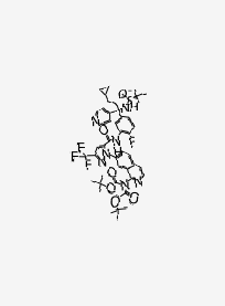 CC(C)(C)OC(=O)N(C(=O)OC(C)(C)C)c1nccc2ccc(-n3nc(C(F)(F)F)cc3C(=O)Nc3cc(C(CCC4CC4)(N[S+]([O-])C(C)(C)C)c4ccncc4)ccc3F)cc12